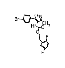 Cc1noc(-c2ccc(Br)cc2)c1NC(=O)OCCc1cc(F)ccc1F